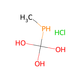 CPC(O)(O)O.Cl